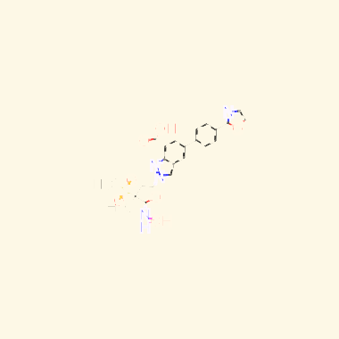 C[C@@](CCn1cc2cc(-c3ccc(-c4ncco4)cc3)ccc2n1)(C(=O)NO)S(C)(=O)=O.O=CO